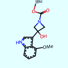 COc1cccc2[nH]cc(C3(O)CN(C(=O)OC(C)(C)C)C3)c12